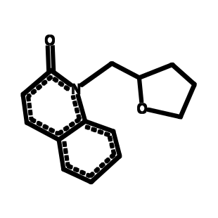 O=c1ccc2ccccc2n1CC1CCCO1